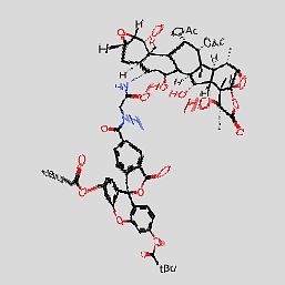 CC(=O)O[C@H]1C2C([C@@H](O)[C@H](NC(=O)CNC(=O)c3ccc4c(c3)C(=O)OC43c4ccc(OC(=O)C(C)(C)C)cc4Oc4cc(OC(=O)C(C)(C)C)ccc43)[C@H]3C[C@@H]4O[C@@H]4[C@H](O)[C@]23C)[C@@H]2[C@@H](O)[C@@H]3[C@H]([C@H](C)[C@H]4O[C@]45OC(=O)[C@@](C)(O)[C@]35C)[C@@]2(C)[C@H]1OC(C)=O